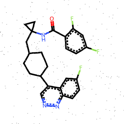 O=C(NC1(CC2CCC(c3cnnc4ccc(F)cc34)CC2)CC1)c1ccc(F)cc1F